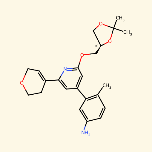 Cc1ccc(N)cc1-c1cc(OC[C@H]2COC(C)(C)O2)nc(C2=CCOCC2)c1